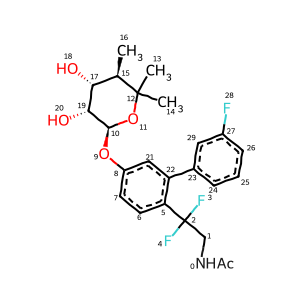 CC(=O)NCC(F)(F)c1ccc(O[C@@H]2OC(C)(C)[C@H](C)[C@@H](O)[C@H]2O)cc1-c1cccc(F)c1